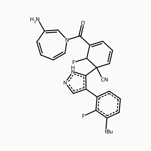 CC(C)(C)c1cccc(-c2cn[nH]c2C2(C#N)C=CC=C(C(=O)N3C=CC=CC(N)=C3)C2F)c1F